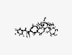 CC1NC2c3ccc(NCc4ccccc4)cc3CCC2C(N2CCCCC2)N1